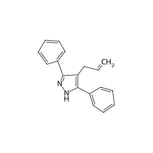 C=CCc1c(-c2ccccc2)n[nH]c1-c1ccccc1